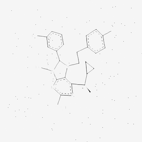 Cc1cccc(C2N(C)c3nc(C(=O)O)nc([C@H](C)C4CC4)c3N2CCc2ccc(Cl)cc2)c1